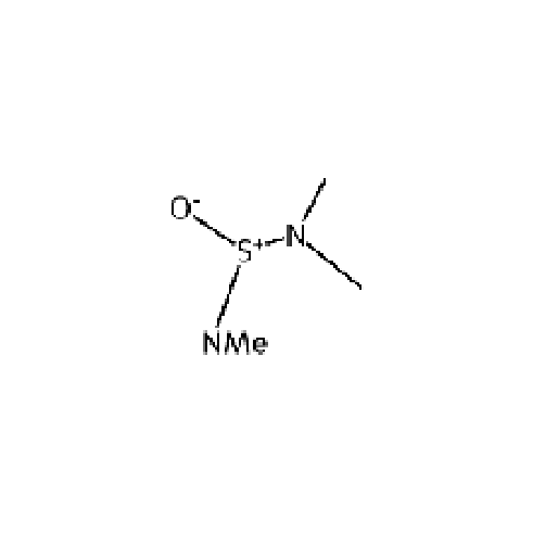 CN[S+]([O-])N(C)C